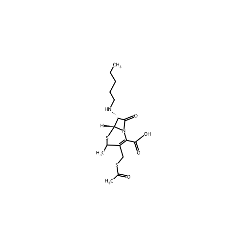 CCCCCN[C@@H]1C(=O)N2C(C(=O)O)=C(CSC(C)=O)C(C)S[C@H]12